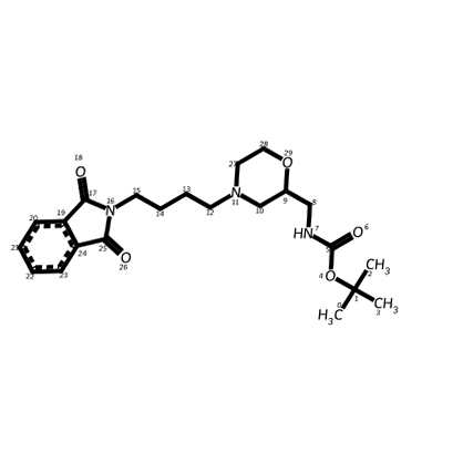 CC(C)(C)OC(=O)NCC1CN(CCCCN2C(=O)c3ccccc3C2=O)CCO1